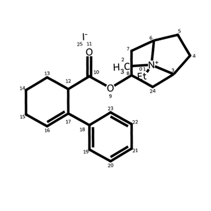 CC[N+]1(C)C2CCC1CC(OC(=O)C1CCCC=C1c1ccccc1)C2.[I-]